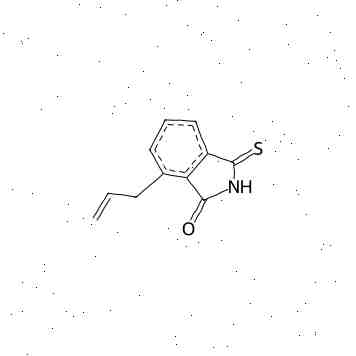 C=CCc1cccc2c1C(=O)NC2=S